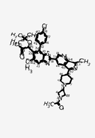 CC(=O)N1CC(N2CCC(C3=NC(C)c4ncc(-c5nc6cc(C)c([C@H](OC(C)(C)C)C(=O)O)c(-c7ccc(Cl)cc7)c6s5)cc43)CC2)C1